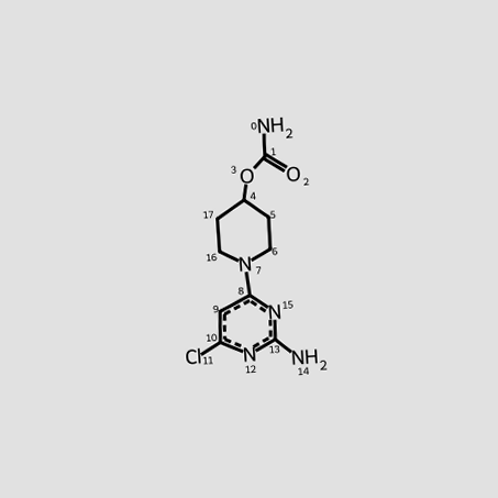 NC(=O)OC1CCN(c2cc(Cl)nc(N)n2)CC1